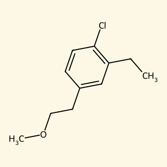 CCc1cc(CCOC)ccc1Cl